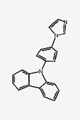 c1ccc2c(c1)c1ccccc1n2-c1ccc(-n2ccnc2)cc1